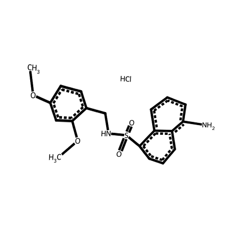 COc1ccc(CNS(=O)(=O)c2cccc3c(N)cccc23)c(OC)c1.Cl